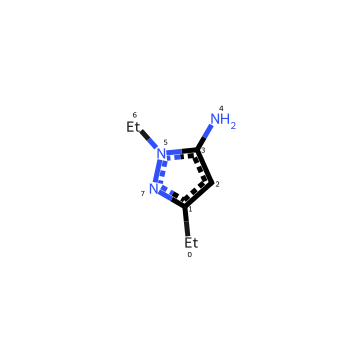 CCc1cc(N)n(CC)n1